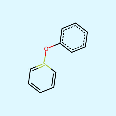 [C]1=S(Oc2ccccc2)C=CC=C1